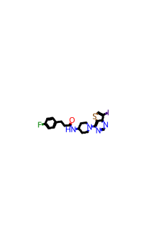 O=C(CCc1ccc(F)cc1)NC1CCN(c2ncnc3c(I)csc23)CC1